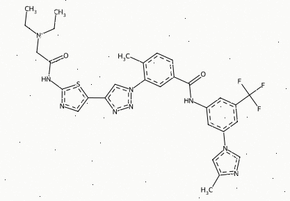 CCN(CC)CC(=O)Nc1ncc(-c2cn(-c3cc(C(=O)Nc4cc(-n5cnc(C)c5)cc(C(F)(F)F)c4)ccc3C)nn2)s1